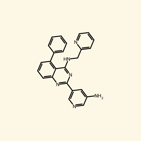 Nc1cncc(-c2nc(NCc3ccccn3)c3c(-c4ccccc4)cccc3n2)c1